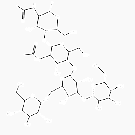 CC(=O)NC1[C@H](O[C@@H]2C(CO)O[C@@H](C)C(NC(C)=O)[C@H]2O)OC(CO)[C@@H](O[C@@H]2OC(CO[C@H]3OC(CO)[C@@H](O)C(O)[C@H]3O)[C@@H](O)C(O[C@H]3O[C@H](CO)[C@@H](O)C(O)C3O)[C@H]2O)[C@@H]1O